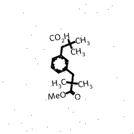 COC(=O)C(C)(C)Cc1cccc(CC(C)(C)C(=O)O)c1